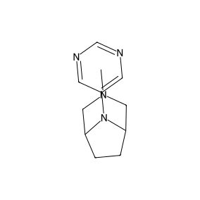 CN1CC2CCC(C1)N2c1cncnc1